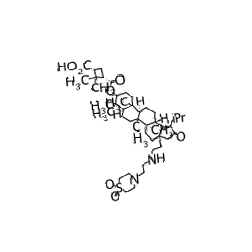 CC(C)C1=C2[C@H]3CC[C@@H]4[C@@]5(C)CC[C@H](OC(=O)[C@H]6C[C@@H](C(=O)O)C6(C)C)C(C)(C)[C@@H]5CC[C@@]4(C)[C@]3(C)CC[C@@]2(CCNCCN2CCS(=O)(=O)CC2)CC1=O